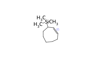 C[Si](C)(C)C1/C=C\CCCCC1